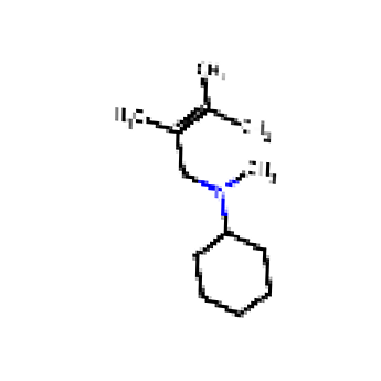 CC(C)=C(C)CN(C)[C]1CCCCC1